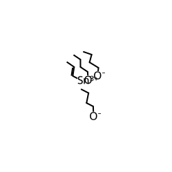 CC=[CH][Sn+3].CCCC[O-].CCCC[O-].CCCC[O-]